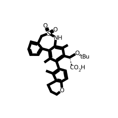 Cc1c(-c2c(C)c3c(c(C)c2[C@H](OC(C)(C)C)C(=O)O)NS(=O)(=O)Cc2ccccc2-3)ccc2c1CCCO2